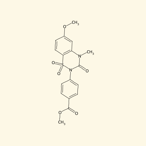 COC(=O)c1ccc(N2C(=O)N(C)c3cc(OC)ccc3S2(=O)=O)cc1